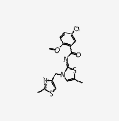 COc1ccc(Cl)cc1C(=O)N=c1sc(C)cn1Cc1csc(C)n1